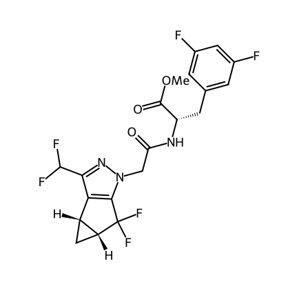 COC(=O)[C@H](Cc1cc(F)cc(F)c1)NC(=O)Cn1nc(C(F)F)c2c1C(F)(F)[C@@H]1C[C@H]21